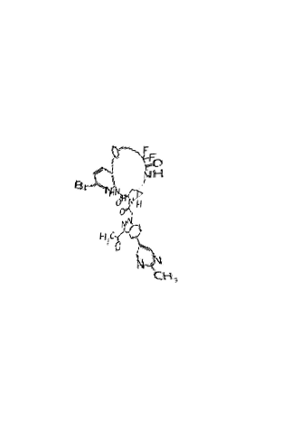 CC(=O)c1nn(CC(=O)N2[C@H]3C[C@@]4(CNC(=O)C(F)(F)CCCOCc5ccc(Br)nc5NC3=O)C[C@@H]24)c2ccc(-c3cnc(C)nc3)cc12